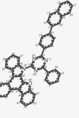 c1ccc(-c2nc(-c3ccc(-c4ccc5ccccc5c4)cc3)nc(-n3c4ccccc4c4c5ccccc5c5c6ccccc6oc5c43)n2)cc1